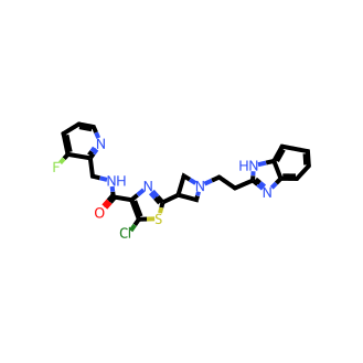 O=C(NCc1ncccc1F)c1nc(C2CN(CCc3nc4ccccc4[nH]3)C2)sc1Cl